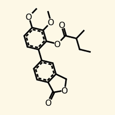 CCC(C)C(=O)Oc1c(-c2ccc3c(c2)COC3=O)ccc(OC)c1OC